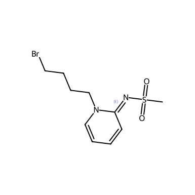 CS(=O)(=O)/N=c1\ccccn1CCCCBr